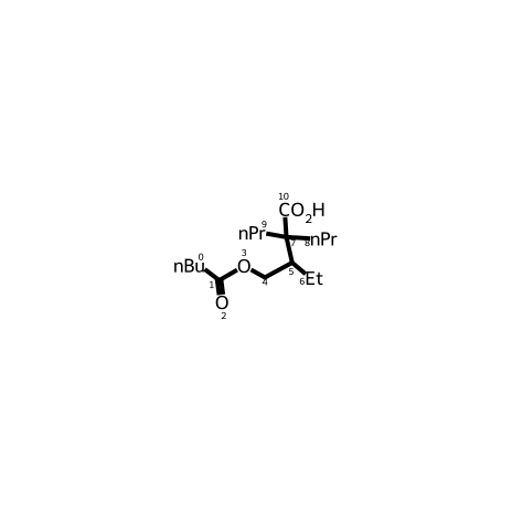 CCCCC(=O)OCC(CC)C(CCC)(CCC)C(=O)O